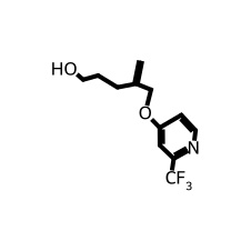 C=C(CCCO)COc1ccnc(C(F)(F)F)c1